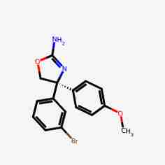 COc1ccc([C@]2(c3cccc(Br)c3)COC(N)=N2)cc1